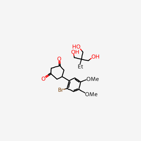 CCC(CO)(CO)CO.COc1cc(Br)c(C2CC(=O)CC(=O)C2)cc1OC